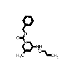 C=CCONC1C=C(C)CN(C(=O)OCc2ccccc2)C1